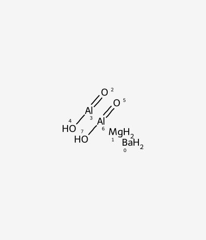 [BaH2].[MgH2].[O]=[Al][OH].[O]=[Al][OH]